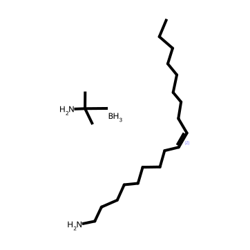 B.CC(C)(C)N.CCCCCCCC/C=C\CCCCCCCCN